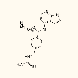 Cl.Cl.N=C(N)NCc1ccc(C(=O)Nc2ccnc3[nH]ncc23)cc1.O